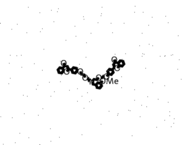 COc1cccc(CN(CCOCCOc2ccc(-c3cc(=O)c4ccccc4o3)cc2)CCOCCOc2ccc(-c3cc(=O)c4ccccc4o3)cc2)c1